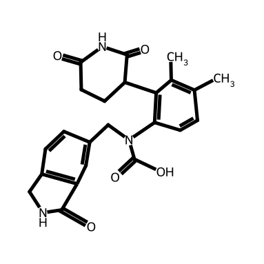 Cc1ccc(N(Cc2ccc3c(c2)C(=O)NC3)C(=O)O)c(C2CCC(=O)NC2=O)c1C